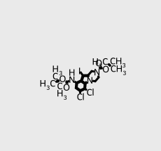 CC(C)(C)OC(=O)Nc1cc(Cl)c(Cl)c2c1c(I)c1n2CCN(C(=O)OC(C)(C)C)C1